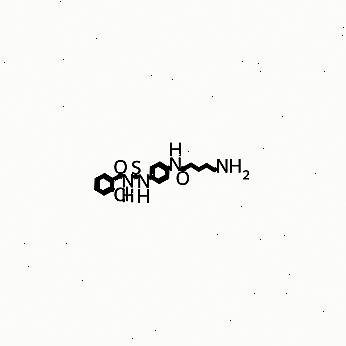 NCCCCC(=O)Nc1ccc(NC(=S)NC(=O)c2ccccc2Cl)cc1